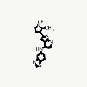 CCCN1CC=C(c2cc3c(Nc4ccc5scnc5c4)ccnc3s2)C1C